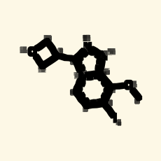 COc1c(I)ccn2c(C3COC3)nnc12